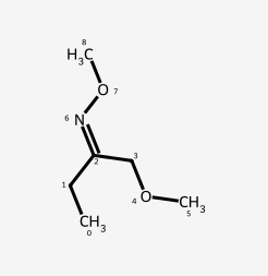 CC/C(COC)=N/OC